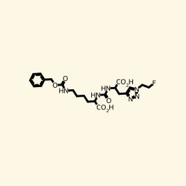 O=C(NC(CCCCNC(=O)OCc1ccccc1)C(=O)O)NC(Cc1cn(CCF)nn1)C(=O)O